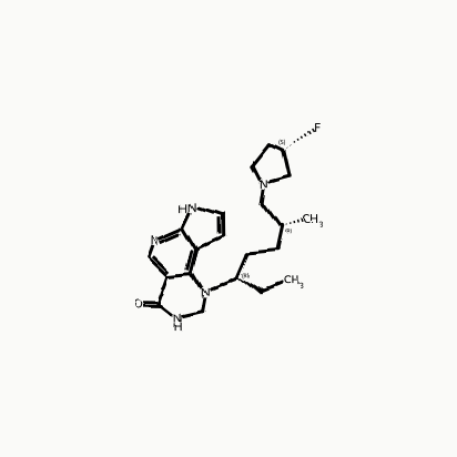 CC[C@H](CC[C@@H](C)CN1CC[C@H](F)C1)N1CNC(=O)c2cnc3[nH]ccc3c21